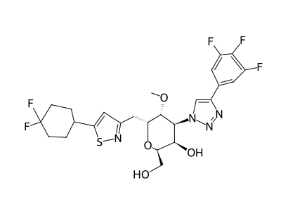 CO[C@@H]1[C@@H](n2cc(-c3cc(F)c(F)c(F)c3)nn2)[C@@H](O)[C@@H](CO)O[C@@H]1Cc1cc(C2CCC(F)(F)CC2)sn1